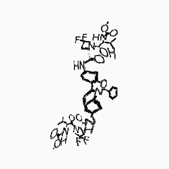 COC(=O)N[C@@H](C(C)C)C(O)N1CC(F)(F)C[C@H]1C(=O)Nc1ccc2c(c1)OC(c1ccccc1)n1c-2cc2cc(NC(=O)[C@@H]3CC(F)(F)CN3C(=O)[C@@H](NC(=O)OC)C(C)C)ccc21